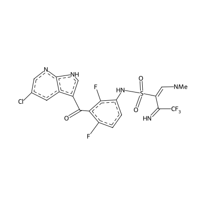 CN/C=C(\C(=N)C(F)(F)F)S(=O)(=O)Nc1ccc(F)c(C(=O)c2c[nH]c3ncc(Cl)cc23)c1F